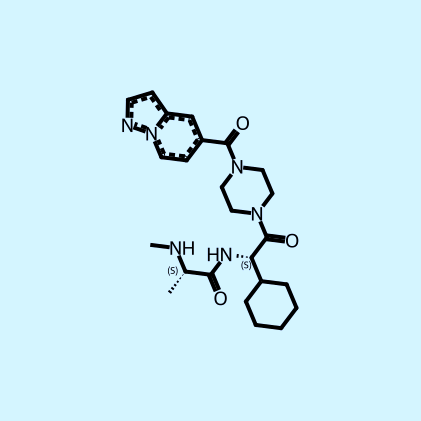 CN[C@@H](C)C(=O)N[C@H](C(=O)N1CCN(C(=O)c2ccn3nccc3c2)CC1)C1CCCCC1